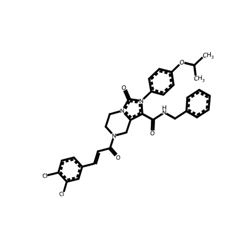 CC(C)Oc1ccc(-n2c(C(=O)NCc3ccccc3)c3n(c2=O)CCN(C(=O)/C=C/c2ccc(Cl)c(Cl)c2)C3)cc1